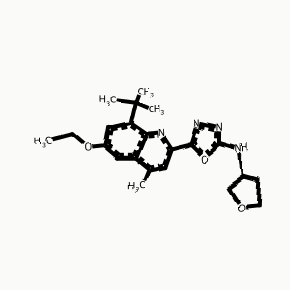 CCOc1cc(C(C)(C)C)c2nc(-c3nnc(N[C@H]4CCOC4)o3)cc(C)c2c1